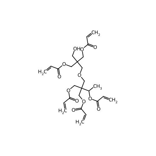 C=CC(=O)OCC(CO)(COCC(COC(=O)C=C)(COC(=O)C=C)C(C)OC(=O)C=C)COC(=O)C=C